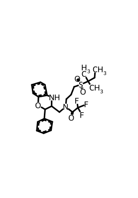 CCC(C)(C)S(=O)(=O)CCCN(CC1Nc2ccccc2OC1c1ccccc1)C(=O)C(F)(F)F